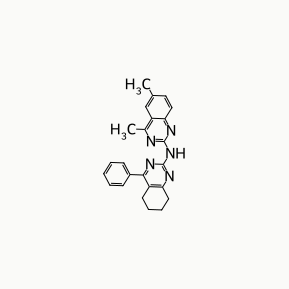 Cc1ccc2nc(Nc3nc4c(c(-c5ccccc5)n3)CCCC4)nc(C)c2c1